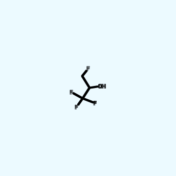 OC(CF)C(F)(F)F